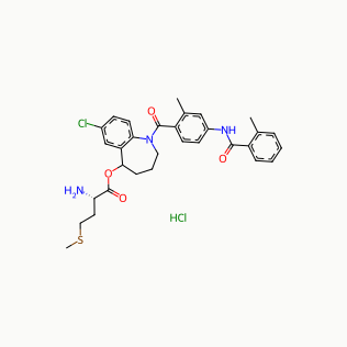 CSCC[C@H](N)C(=O)OC1CCCN(C(=O)c2ccc(NC(=O)c3ccccc3C)cc2C)c2ccc(Cl)cc21.Cl